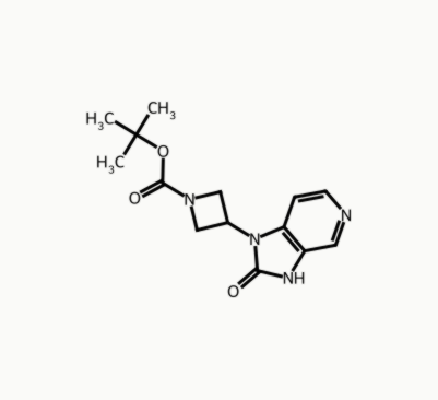 CC(C)(C)OC(=O)N1CC(n2c(=O)[nH]c3cnccc32)C1